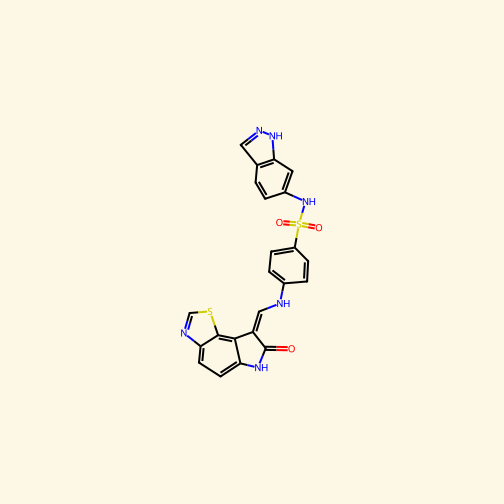 O=C1Nc2ccc3ncsc3c2/C1=C/Nc1ccc(S(=O)(=O)Nc2ccc3cn[nH]c3c2)cc1